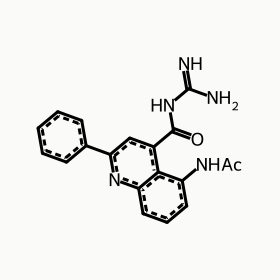 CC(=O)Nc1cccc2nc(-c3ccccc3)cc(C(=O)NC(=N)N)c12